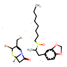 CCCCCCCC[S+]([O-])C(C)Cc1ccc2c(c1)OCO2.O=C1C[C@H]2SC(Br)C(CBr)=CN12